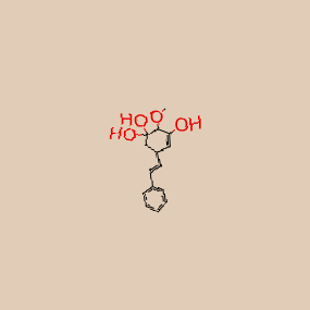 COC1C(O)=CC(C=Cc2ccccc2)CC1(O)O